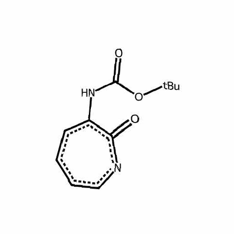 CC(C)(C)OC(=O)Nc1ccccnc1=O